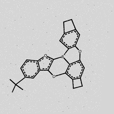 CC(C)(C)c1ccc2oc3c(c2c1)Oc1c2c(cc4c1B3c1cc3c(cc1O4)CC3)CC2